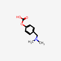 CN(C)Cc1ccc(OC(=O)O)cc1